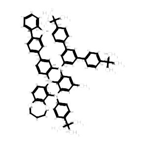 Cc1cc2c3c(c1)N(c1ccc(C(C)(C)C)cc1)c1c(ccc4c1OCCCO4)B3c1ccc(-c3ccc4c(c3)sc3ccccc34)cc1N2c1cc(-c2ccc(C(C)(C)C)cc2)cc(-c2ccc(C(C)(C)C)cc2)c1